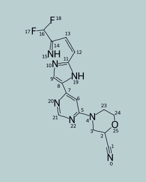 N#CC1CN(c2cc(-c3cnc(/C=C\C(=N)C(F)F)[nH]3)ncn2)CCO1